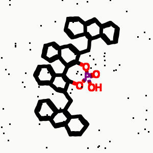 O=P1(O)Oc2c(Cc3c4ccccc4cc4ccccc34)cc3ccccc3c2-c2c(c(Cc3c4ccccc4cc4ccccc34)cc3ccccc23)O1